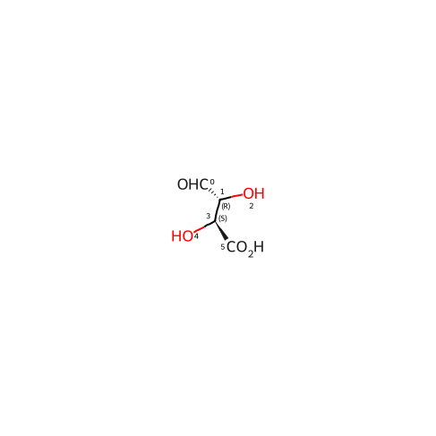 O=C[C@H](O)[C@H](O)C(=O)O